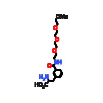 COCCOCCOCCOCCNC(=O)c1cccc(C[C@H](N)C(=O)O)c1